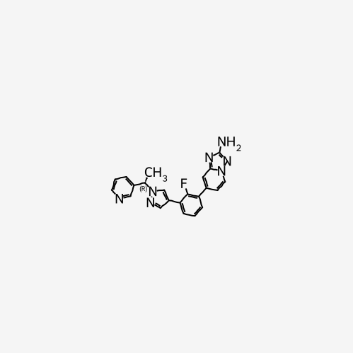 C[C@H](c1cccnc1)n1cc(-c2cccc(-c3ccn4nc(N)nc4c3)c2F)cn1